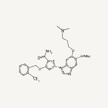 COc1cc2ncn(-c3cc(OCc4ccccc4C(F)(F)F)c(C(N)=O)s3)c2cc1OCCCN(C)C